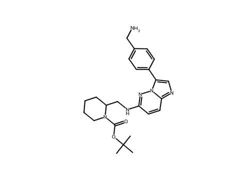 CC(C)(C)OC(=O)N1CCCCC1CNc1ccc2ncc(-c3ccc(CN)cc3)n2n1